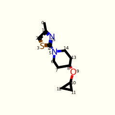 Cc1csc(N2CCC(OC3CC3)CC2)n1